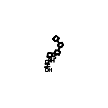 CC(C)(O)C(C)(C)OBc1cccc2c1sc1ccc(-c3cccc(-c4ccccc4)c3)cc12